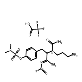 CN(C)S(=O)(=O)Oc1ccc(CN(C(N)=N[N+](=O)[O-])[C@H](CCCN)C(N)=O)cc1.O=C(O)C(F)(F)F